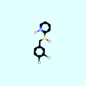 [O-][n+]1ccccc1[S+]([O-])Cc1ccc(Cl)c(Cl)c1